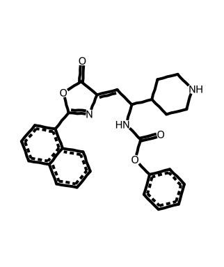 O=C(NC(C=C1N=C(c2cccc3ccccc23)OC1=O)C1CCNCC1)Oc1ccccc1